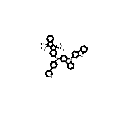 CC1(C)C2=C(c3ccccc31)C(C)(C)c1cc(N(c3ccc(-c4cccnc4)cc3)c3ccc4c(c3)c3ccccc3n4-c3ccc4c(c3)oc3ccccc34)ccc12